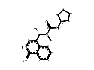 C[C@@H](c1c[nH]c(=O)c2ccccc12)N(C)C(=O)NC1CCCC1